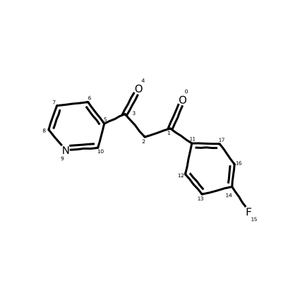 O=C(CC(=O)c1cccnc1)c1ccc(F)cc1